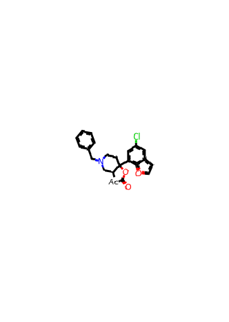 CC(=O)C(=O)OC1(c2cc(Cl)cc3ccoc23)CCN(Cc2ccccc2)CC1C